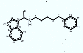 CC(NCCCCCc1ccccc1)c1csc2ccccc12